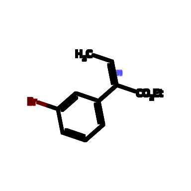 C/C=C(/C(=O)OCC)c1cccc(Br)c1